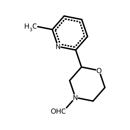 Cc1cccc(C2CN(C=O)CCO2)n1